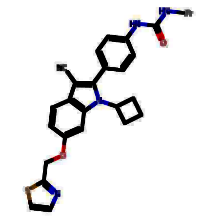 CC(C)NC(=O)Nc1ccc(-c2c(C#N)c3ccc(OCc4nccs4)cc3n2C2CCC2)cc1